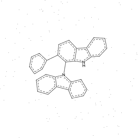 c1ccc(-c2ccc3c([nH]c4ccccc43)c2-n2c3ccccc3c3ccccc32)cc1